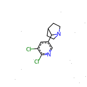 Clc1cc(C2C3CCN2CC3)cnc1Cl